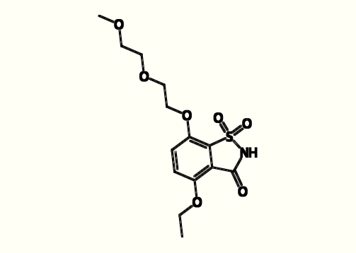 CCOc1ccc(OCCOCCOC)c2c1C(=O)NS2(=O)=O